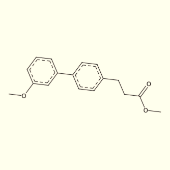 COC(=O)CCc1ccc(-c2cccc(OC)c2)cc1